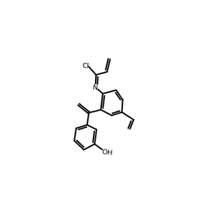 C=C/C(Cl)=N\c1ccc(C=C)cc1C(=C)c1cccc(O)c1